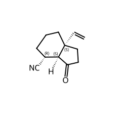 C=C[C@@]12CCC[C@@H](C#N)[C@@H]1C(=O)CC2